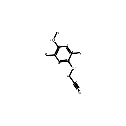 COc1cc(C)c(OCC#N)cc1C